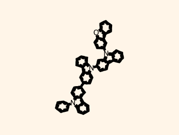 c1ccc(-n2c3ccccc3c3cc(-c4ccc5c(c4)c4ccccc4n5-c4ccc5c6ccccc6n(-c6ccc7oc8ccccc8c7c6)c5c4)ccc32)cc1